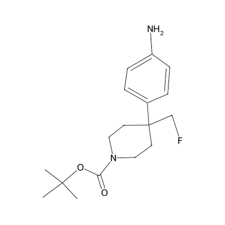 CC(C)(C)OC(=O)N1CCC(CF)(c2ccc(N)cc2)CC1